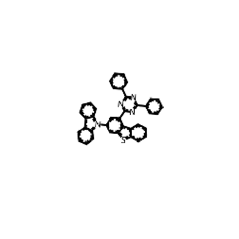 c1ccc(-c2nc(-c3ccccc3)nc(-c3cc(-n4c5ccccc5c5ccccc54)cc4sc5ccccc5c34)n2)cc1